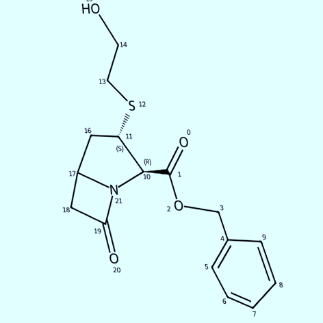 O=C(OCc1ccccc1)[C@@H]1[C@@H](SCCO)CC2CC(=O)N21